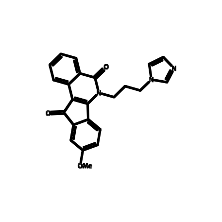 COc1ccc2c(c1)C(=O)c1c-2n(CCCn2ccnc2)c(=O)c2ccccc12